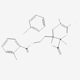 CC1=C(C(=O)O)[C@@H](c2cccc(Cl)c2)C2(CCNC(=O)c3ccccc3C(=O)O)OC(=O)C2(C)N1